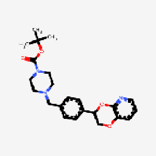 CC(C)(C)OC(=O)N1CCN(Cc2ccc(C3COc4cccnc4O3)cc2)CC1